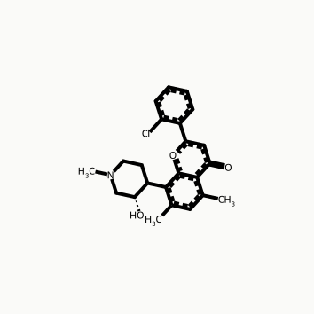 Cc1cc(C)c2c(=O)cc(-c3ccccc3Cl)oc2c1C1CCN(C)C[C@H]1O